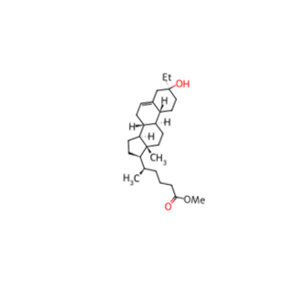 CC[C@]1(O)CC[C@H]2C(=CC[C@@H]3[C@@H]2CC[C@]2(C)[C@@H]([C@H](C)CCCC(=O)OC)CC[C@@H]32)C1